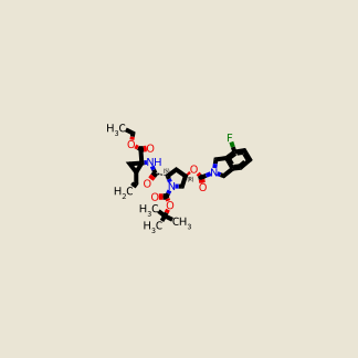 C=CC1CC1(NC(=O)[C@@H]1C[C@@H](OC(=O)N2Cc3cccc(F)c3C2)CN1C(=O)OC(C)(C)C)C(=O)OCC